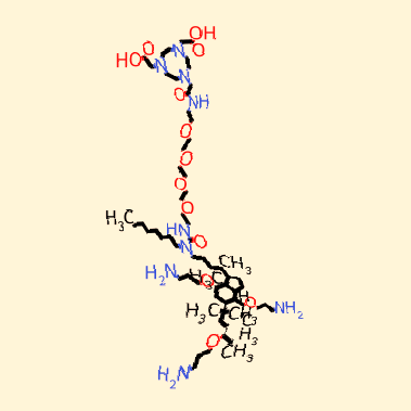 CCCCCCCCN(CCC[C@@H](C)[C@H]1CC[C@H]2C([C@@H](CC)OCCCN)[C@@H](C(C)(C)CC[C@H](CC)OCCCN)C[C@H](OCCCN)[C@]12C)C(=O)NCCOCCOCCOCCOCCNC(=O)CN1CCN(CC(=O)O)CCN(CC(=O)O)CC1